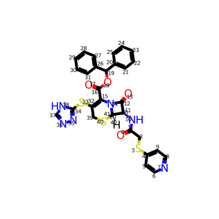 O=C(CSc1ccncc1)N[C@@H]1C(=O)N2C(C(=O)OC(c3ccccc3)c3ccccc3)=C(Sc3nnc[nH]3)CS[C@H]12